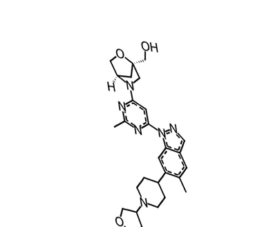 Cc1nc(N2C[C@@]3(CO)C[C@@H]2CO3)cc(-n2ncc3cc(C)c(C4CCN(C5CCOC5)CC4)cc32)n1